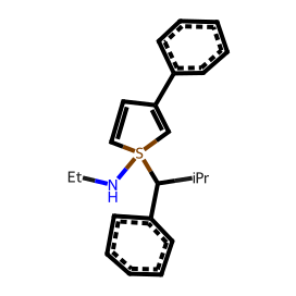 CCNS1(C(c2ccccc2)C(C)C)C=CC(c2ccccc2)=C1